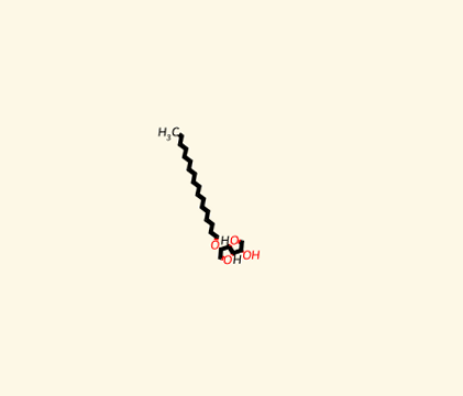 CCCCCCCCCCCCCCCCCCO[C@H]1CO[C@H]2[C@@H]1OC[C@H]2O